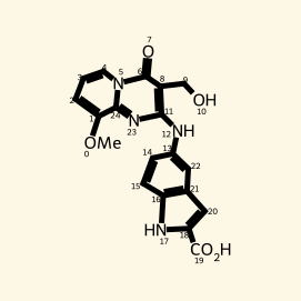 COc1cccn2c(=O)c(CO)c(Nc3ccc4[nH]c(C(=O)O)cc4c3)nc12